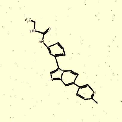 Cc1ccc(-c2ccn3c(-c4cccc(NC(=O)NCC(F)(F)F)c4)cnc3c2)cn1